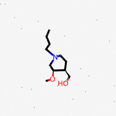 CCCCN1CC[C@@H](CO)[C@@H](OC)C1